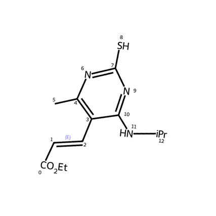 CCOC(=O)/C=C/c1c(C)nc(S)nc1NC(C)C